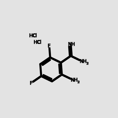 Cl.Cl.N=C(N)c1c(N)cc(F)cc1F